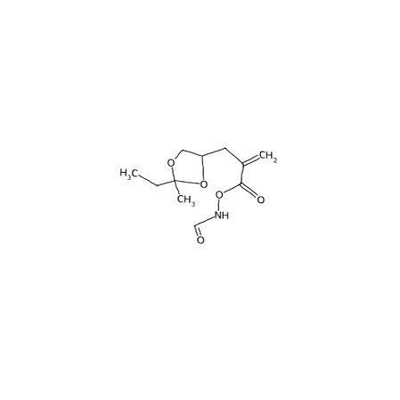 C=C(CC1COC(C)(CC)O1)C(=O)ONC=O